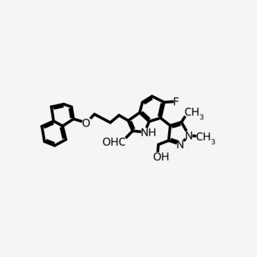 Cc1c(-c2c(F)ccc3c(CCCOc4cccc5ccccc45)c(C=O)[nH]c23)c(CO)nn1C